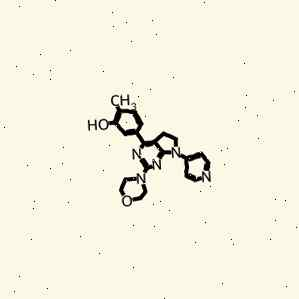 Cc1ccc(-c2nc(N3CCOCC3)nc3c2CCN3c2ccncc2)cc1O